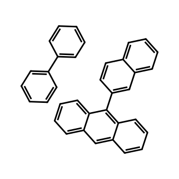 c1ccc(-c2ccccc2)cc1.c1ccc2cc(-c3c4ccccc4cc4ccccc34)ccc2c1